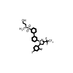 CN(CCO)S(=O)(=O)c1cccc(-c2cccc(N3N=C(C(F)(F)C(F)(F)F)CC3c3ccc(F)cc3F)c2)c1